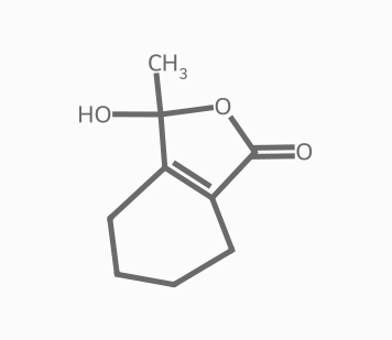 CC1(O)OC(=O)C2=C1CCCC2